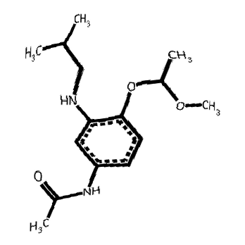 COC(C)Oc1ccc(NC(C)=O)cc1NCC(C)C